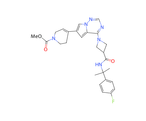 COC(=O)N1CC=C(c2cc3c(N4CC(C(=O)NC(C)(C)c5ccc(F)cc5)C4)ncnn3c2)CC1